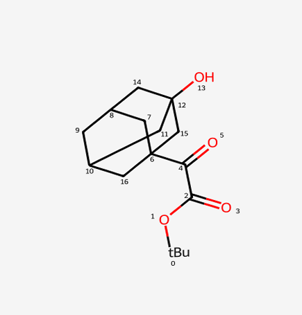 CC(C)(C)OC(=O)C(=O)C12CC3CC(CC(O)(C3)C1)C2